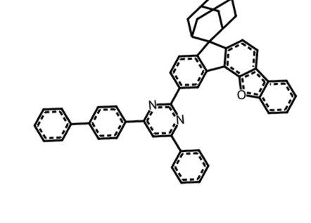 c1ccc(-c2ccc(-c3cc(-c4ccccc4)nc(-c4ccc5c(c4)-c4c(ccc6c4oc4ccccc46)C54C5CC6CC(C5)CC4C6)n3)cc2)cc1